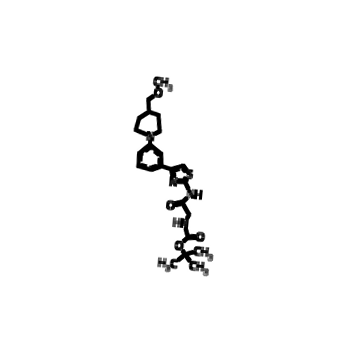 COCC1CCN(c2cccc(-c3csc(NC(=O)CNC(=O)OC(C)(C)C)n3)c2)CC1